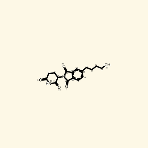 O=C1CCC(N2C(=O)c3ccc(CCCCO)cc3C2=O)C(=O)N1